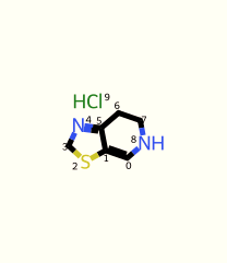 C1=C2SCN=C2CCN1.Cl